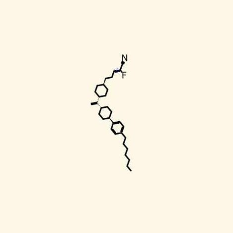 C=C([C@H]1CC[C@H](CC/C=C(\F)C#N)CC1)[C@H]1CC[C@H](c2ccc(CCCCCCC)cc2)CC1